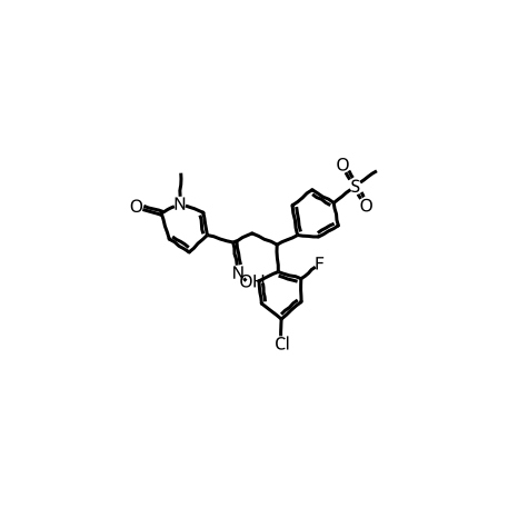 Cn1cc(/C(CC(c2ccc(S(C)(=O)=O)cc2)c2ccc(Cl)cc2F)=N/O)ccc1=O